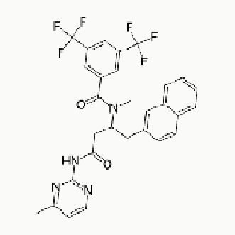 Cc1ccnc(NC(=O)CC(Cc2ccc3ccccc3c2)N(C)C(=O)c2cc(C(F)(F)F)cc(C(F)(F)F)c2)n1